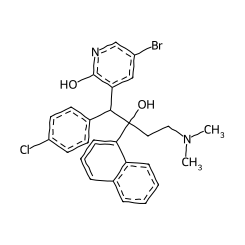 CN(C)CCC(O)(C1=C=C=Cc2ccccc21)C(c1ccc(Cl)cc1)c1cc(Br)cnc1O